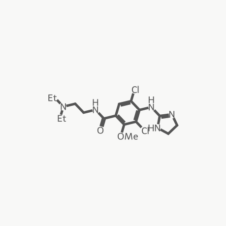 CCN(CC)CCNC(=O)c1cc(Cl)c(NC2=NCCN2)c(Cl)c1OC